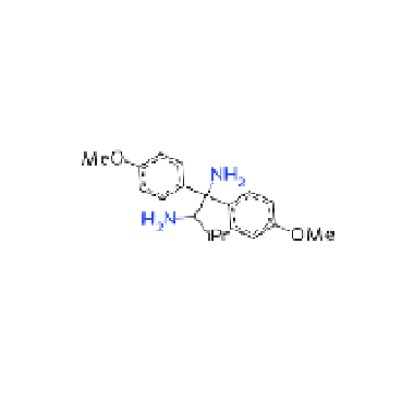 COc1ccc(C(N)(c2ccc(OC)cc2)C(N)C(C)C)cc1